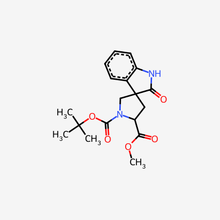 COC(=O)C1CC2(CN1C(=O)OC(C)(C)C)C(=O)Nc1ccccc12